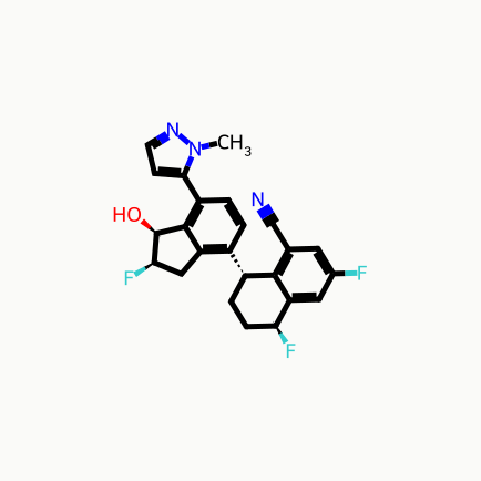 Cn1nccc1-c1ccc([C@H]2CC[C@H](F)c3cc(F)cc(C#N)c32)c2c1[C@H](O)[C@H](F)C2